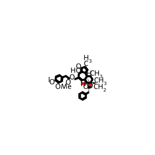 C=C(C)[C@]12C[C@@H](C)[C@@]34O[C@](Cc5ccccc5)(O[C@@H]1[C@@H]3C=C(COC(=O)Cc1ccc(OI)c(OC)c1)C[C@]1(O)C(=O)C(C)=C[C@@H]41)O2